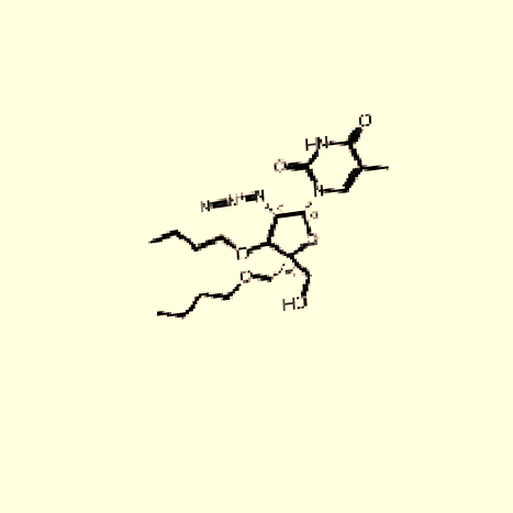 CCCCOC[C@@]1(CO)O[C@@H](n2cc(C)c(=O)[nH]c2=O)[C@@H](N=[N+]=[N-])C1OCCCC